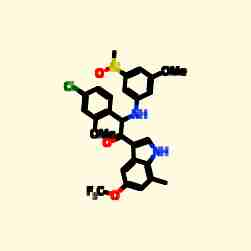 COc1cc(NC(C(=O)c2c[nH]c3c(C)cc(OC(F)(F)F)cc23)c2ccc(Cl)cc2OC)cc([S+](C)[O-])c1